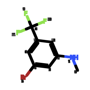 CNc1cc(Br)cc(C(F)(F)F)c1